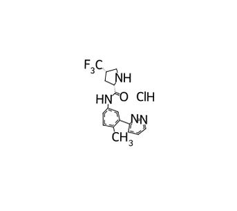 Cc1ccc(NC(=O)[C@@H]2C[C@H](C(F)(F)F)CN2)cc1-c1cccnn1.Cl